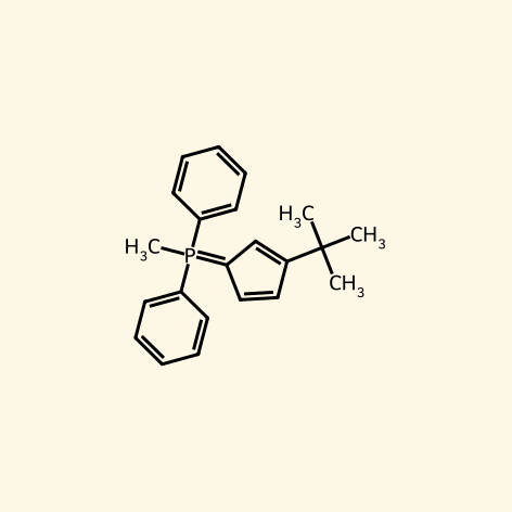 CC(C)(C)C1=CC(=P(C)(c2ccccc2)c2ccccc2)C=C1